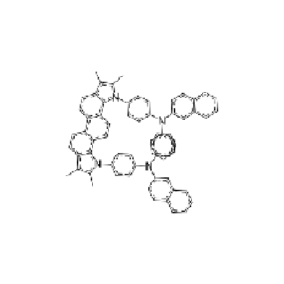 Cc1c(C)n(-c2ccc(N(c3ccccc3)c3ccc4ccccc4c3)cc2)c2c1ccc1c3ccc4c(C)c(C)n(-c5ccc(N(c6ccccc6)c6ccc7ccccc7c6)cc5)c4c3ccc12